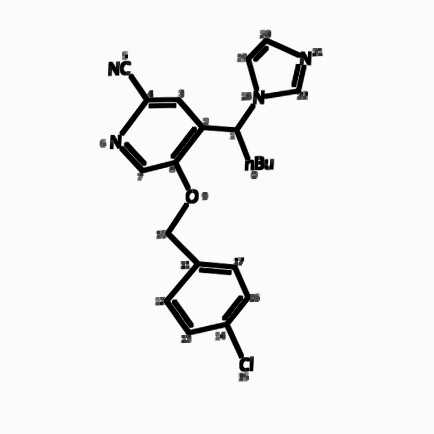 CCCCC(c1cc(C#N)ncc1OCc1ccc(Cl)cc1)n1ccnc1